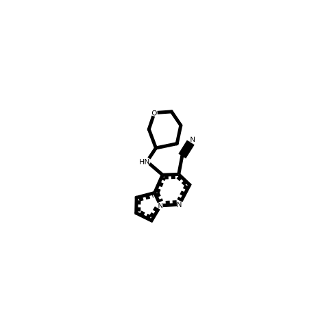 N#Cc1cnn2cccc2c1NC1CCCOC1